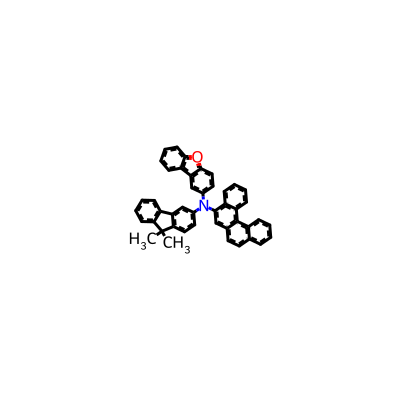 CC1(C)c2ccccc2-c2cc(N(c3ccc4oc5ccccc5c4c3)c3cc4ccc5ccccc5c4c4ccccc34)ccc21